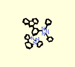 c1ccc(-c2nc(-c3ccccc3)nc(-c3cc(-c4cc5ccccc5c5ccccc45)cc(N4c5ccccc5-c5ccccc5-n5c4nc4ccccc45)c3)n2)cc1